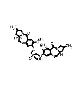 C=C1C[C@H]2C=Nc3cc(OCP(=O)(CO)COc4cc5c(cc4OC)C(=O)N4CC(=C)C[C@H]4C=N5)c(OC)cc3C(=O)N2C1